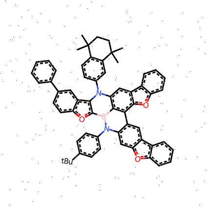 CC(C)(C)c1ccc(N2B3c4oc5ccc(-c6ccccc6)cc5c4N(c4ccc5c(c4)C(C)(C)CCC5(C)C)c4cc5c(oc6ccccc65)c(c43)-c3cc4c(cc32)oc2ccccc24)cc1